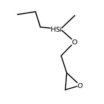 CCC[SiH](C)OCC1CO1